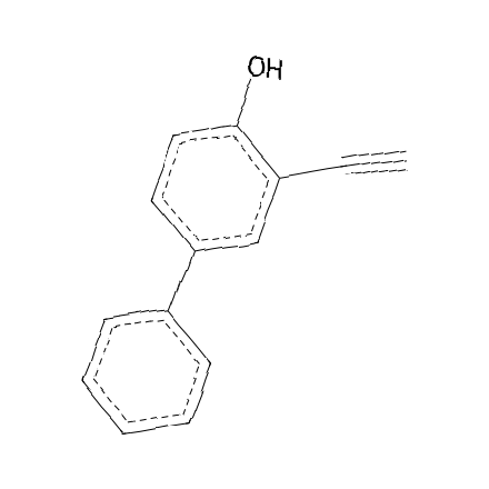 C#Cc1cc(-c2ccccc2)ccc1O